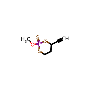 C#CC1CCSP(=S)(OC)S1